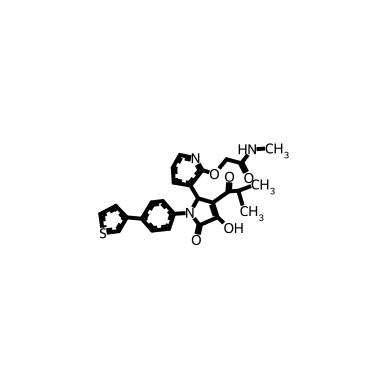 CNC(=O)COc1ncccc1C1C(C(=O)C(C)C)=C(O)C(=O)N1c1ccc(-c2ccsc2)cc1